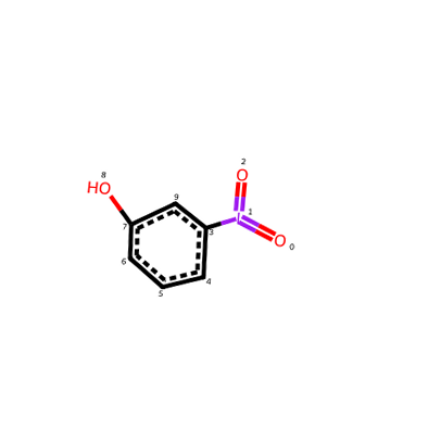 O=I(=O)c1cccc(O)c1